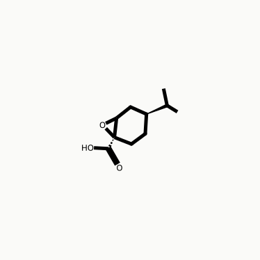 CC(C)[C@H]1CC[C@@]2(C(=O)O)OC2C1